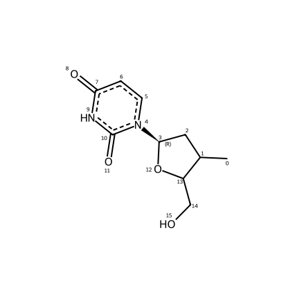 CC1C[C@H](n2ccc(=O)[nH]c2=O)OC1CO